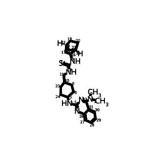 CN(C)c1nc(NC2CCC(CNC(=S)NC3C[C@H]4CC[C@H]3C4)CC2)nc2ccccc12